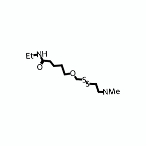 CCNC(=O)CCCCOCSSCCNC